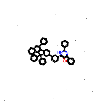 C1=CC(C2C=CC3=C(C2)C(c2ccccc2)(c2ccccc2)c2c3c(-c3ccccc3)cc3ccccc23)CC(C2=c3oc4ccccc4c3=NC(c3ccccc3)N2)=C1